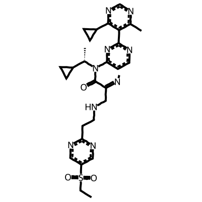 CCS(=O)(=O)c1cnc(CCNC/C(=N/C)C(=O)N(c2ccnc(-c3c(C)ncnc3C3CC3)n2)[C@@H](C)C2CC2)nc1